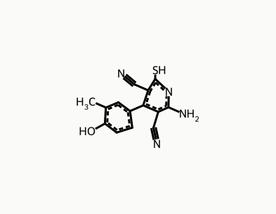 Cc1cc(-c2c(C#N)c(N)nc(S)c2C#N)ccc1O